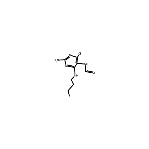 CCCCNc1nc(N)nc(Cl)c1NC=O